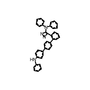 c1ccc(Nc2ccc(-c3ccc(-c4ccccc4C4=C(N(c5ccccc5)c5ccccc5)N=N4)cc3)cc2)cc1